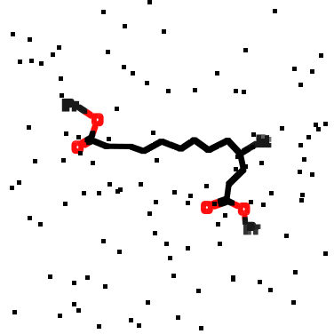 CCC(CCCCCCCCC(=O)OC(C)C)CCC(=O)OC(C)C